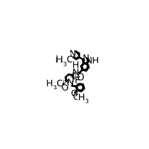 COc1cccc(F)c1CN1C[C@H](NC(=O)c2ccc3[nH]nc(-c4ccnc(C)c4)c3c2)CC[C@H]1C(C)=O